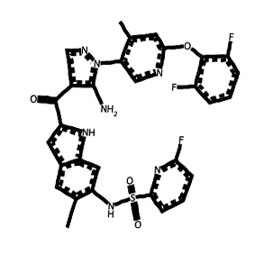 Cc1cc2cc(C(=O)c3cnn(-c4cnc(Oc5c(F)cccc5F)cc4C)c3N)[nH]c2cc1NS(=O)(=O)c1cccc(F)n1